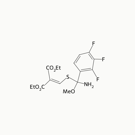 CCOC(=O)C(=CSC(N)(OC)c1ccc(F)c(F)c1F)C(=O)OCC